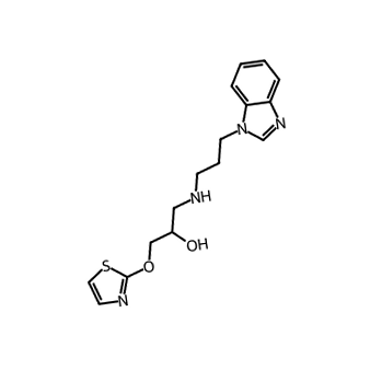 OC(CNCCCn1cnc2ccccc21)COc1nccs1